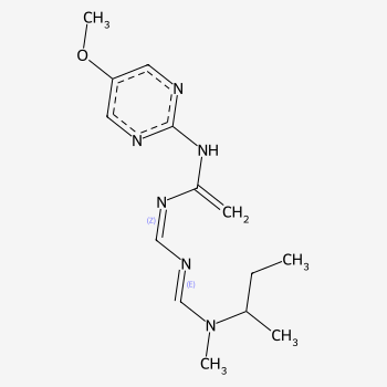 C=C(/N=C\N=C\N(C)C(C)CC)Nc1ncc(OC)cn1